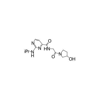 CC(C)Nc1nccc(C(=O)NCC(=O)N2CCC(O)C2)n1